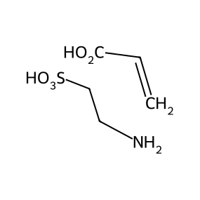 C=CC(=O)O.NCCS(=O)(=O)O